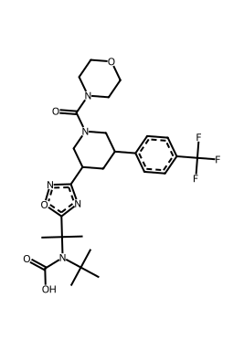 CC(C)(C)N(C(=O)O)C(C)(C)c1nc(C2CC(c3ccc(C(F)(F)F)cc3)CN(C(=O)N3CCOCC3)C2)no1